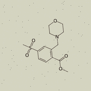 COC(=O)c1ccc(S(C)(=O)=O)cc1CN1CCOCC1